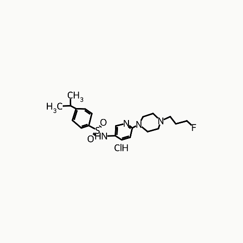 CC(C)c1ccc(S(=O)(=O)Nc2ccc(N3CCN(CCCF)CC3)nc2)cc1.Cl